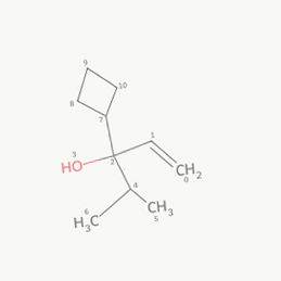 C=CC(O)(C(C)C)C1CCC1